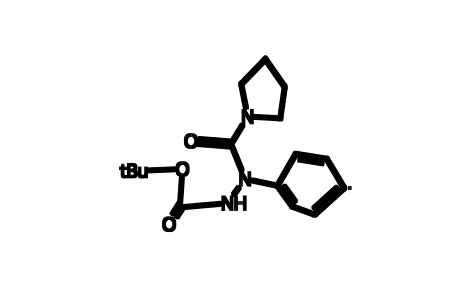 CC(C)(C)OC(=O)NN(C(=O)N1CCCC1)c1cc[c]cc1